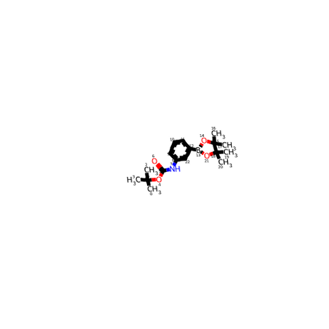 CC(C)(C)OC(=O)Nc1cccc(B2OC(C)(C)C(C)(C)O2)c1